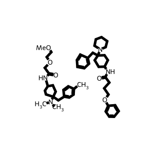 COCCOCC(=O)NC1CCC(Cc2ccc(C)cc2)(N(C)C)CC1.O=C(CCCOc1ccccc1)NC1CCC(Cc2ccccc2)(N2CCCCC2)CC1